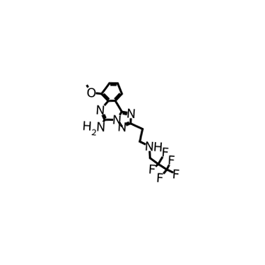 COc1cccc2c1nc(N)n1nc(CCNCC(F)(F)C(F)(F)F)nc21